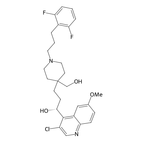 COc1ccc2ncc(Cl)c([C@H](O)CCC3(CO)CCN(CCCc4c(F)cccc4F)CC3)c2c1